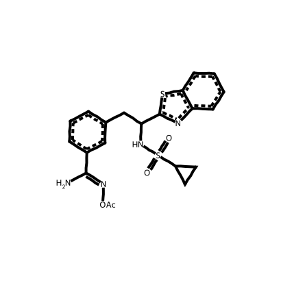 CC(=O)ON=C(N)c1cccc(CC(NS(=O)(=O)C2CC2)c2nc3ccccc3s2)c1